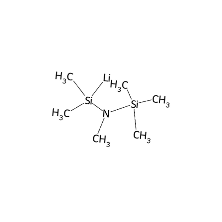 [Li][Si](C)(C)N(C)[Si](C)(C)C